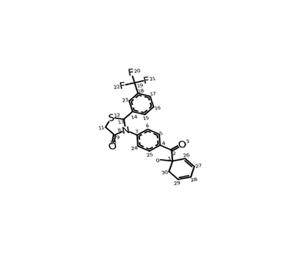 CC1(C(=O)c2ccc(N3C(=O)CSC3c3cccc(C(F)(F)F)c3)cc2)C=CC=CC1